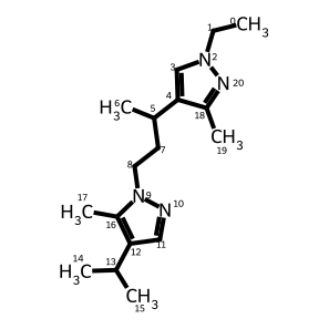 CCn1cc(C(C)CCn2ncc(C(C)C)c2C)c(C)n1